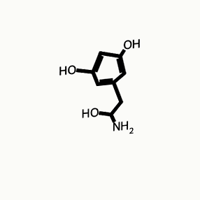 NC(O)Cc1cc(O)cc(O)c1